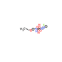 CCC#CCCOc1ccc(CNC(=O)[C@H](O)[C@@H](O)C(=O)N2CCN(c3ccccc3F)CC2)cc1